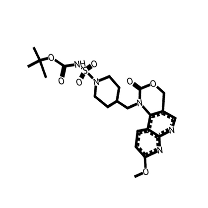 COc1ccc2c3c(cnc2n1)COC(=O)N3CC1CCN(S(=O)(=O)NC(=O)OC(C)(C)C)CC1